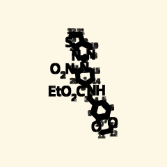 CCOC(=O)C1(NCc2ccc3c(c2)OCCO3)CCN(c2ncc3ccsc3n2)C([N+](=O)[O-])C1